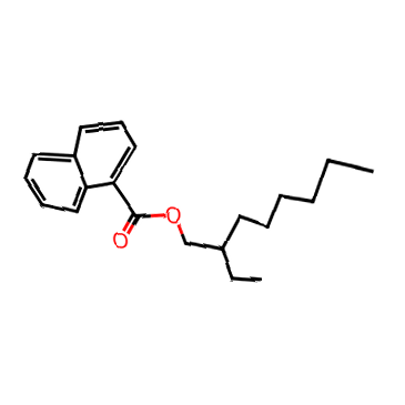 CCCCCCC(CC)COC(=O)c1cccc2ccccc12